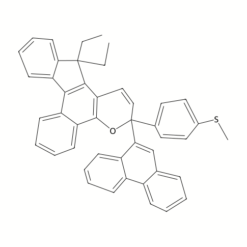 CCC1(CC)c2ccccc2-c2c1c1c(c3ccccc23)OC(c2ccc(SC)cc2)(c2cc3ccccc3c3ccccc23)C=C1